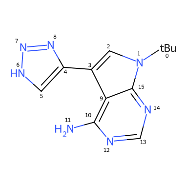 CC(C)(C)n1cc(-c2c[nH]nn2)c2c(N)ncnc21